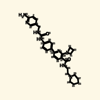 Nc1ccc(CNC(=O)Nc2ccc(-c3ccc(C(=O)NCCN4CCCCC4)c(N4CCC4)n3)cc2)cn1